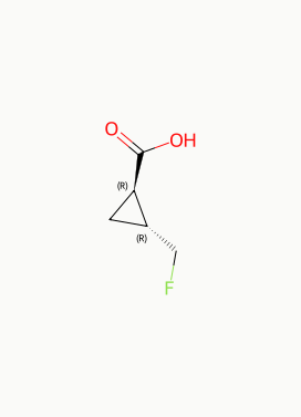 O=C(O)[C@@H]1C[C@H]1CF